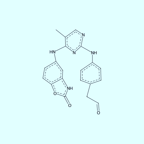 Cc1cnc(Nc2ccc(CC=O)cc2)nc1Nc1ccc2oc(=O)[nH]c2c1